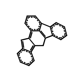 C1=c2ccccc2=C2CC3=c4c(cccc4=C12)-c1ccccc13